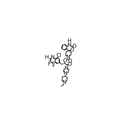 CCN1CCC(N2CCN(C(=O)[C@@H](Cc3cc(Cl)c(N)c(C(F)(F)F)c3)OC(=O)N3CCC4(CC3)OC(=O)Nc3ccccc34)CC2)CC1